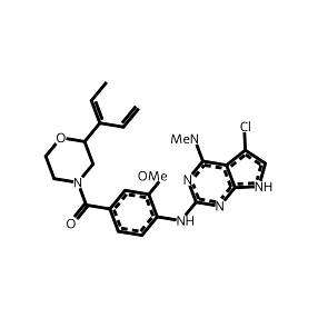 C=C/C(=C\C)C1CN(C(=O)c2ccc(Nc3nc(NC)c4c(Cl)c[nH]c4n3)c(OC)c2)CCO1